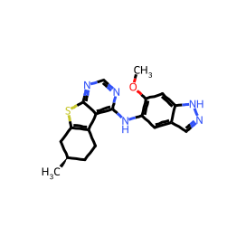 COc1cc2[nH]ncc2cc1Nc1ncnc2sc3c(c12)CC[C@@H](C)C3